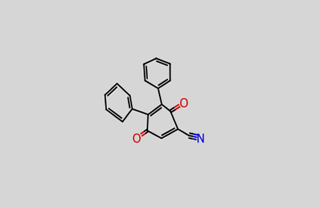 N#CC1=CC(=O)C(c2ccccc2)=C(c2ccccc2)C1=O